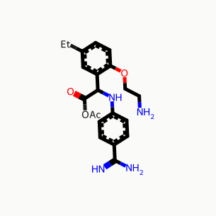 CCc1ccc(OCCN)c(C(Nc2ccc(C(=N)N)cc2)C(=O)OC(C)=O)c1